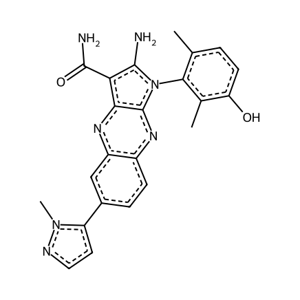 Cc1ccc(O)c(C)c1-n1c(N)c(C(N)=O)c2nc3cc(-c4ccnn4C)ccc3nc21